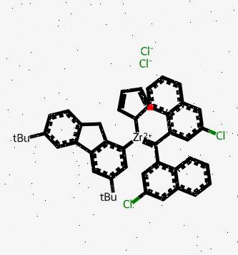 CC(C)(C)c1ccc2c(c1)-c1cc(C(C)(C)C)c[c]([Zr+2](=[C](c3cc(Cl)cc4ccccc34)c3cc(Cl)cc4ccccc34)[CH]3C=CC=C3)c1C2.[Cl-].[Cl-]